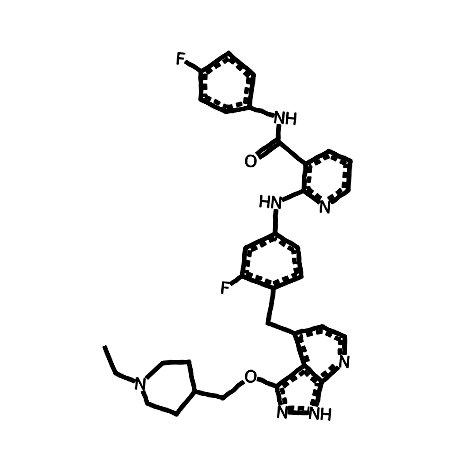 CCN1CCC(COc2n[nH]c3nccc(Cc4ccc(Nc5ncccc5C(=O)Nc5ccc(F)cc5)cc4F)c23)CC1